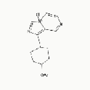 CC(=O)OC1CCC(C2=C3C=NC=C[N+]3(Cl)C=N2)CC1